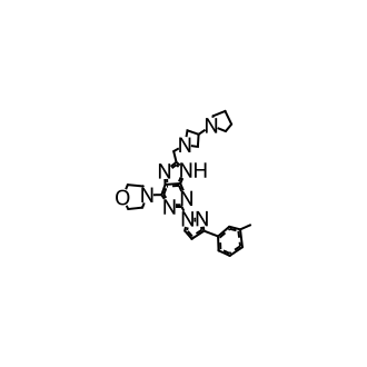 Cc1cccc(-c2ccn(-c3nc(N4CCOCC4)c4nc(CN5CC(N6CCCC6)C5)[nH]c4n3)n2)c1